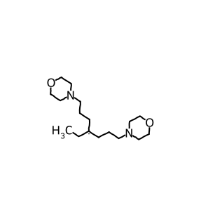 CC[C](CCCN1CCOCC1)CCCN1CCOCC1